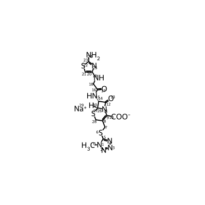 Cn1nnnc1SCC1=C(C(=O)[O-])N2C(=O)[C@@H](NC(=O)CNc3csc(N)n3)[C@H]2SC1.[Na+]